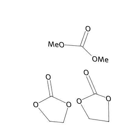 COC(=O)OC.O=C1OCCO1.O=C1OCCO1